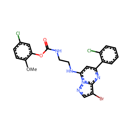 COc1ccc(Cl)cc1OC(=O)NCCNc1cc(-c2ccccc2Cl)nc2c(Br)cnn12